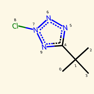 CC(C)(C)c1nnn(Cl)n1